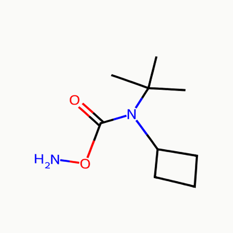 CC(C)(C)N(C(=O)ON)C1CCC1